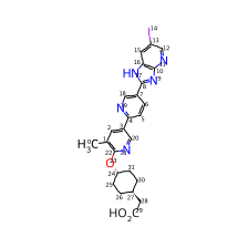 Cc1cc(-c2ccc(-c3nc4ncc(I)cc4[nH]3)cn2)cnc1O[C@H]1CC[C@H](CC(=O)O)CC1